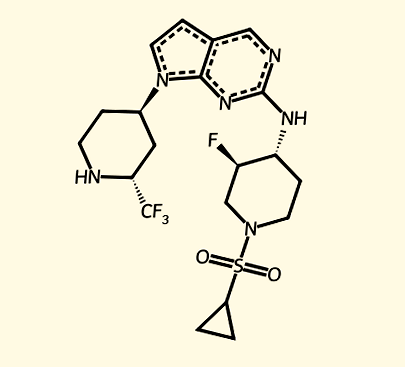 O=S(=O)(C1CC1)N1CC[C@@H](Nc2ncc3ccn([C@@H]4CCN[C@@H](C(F)(F)F)C4)c3n2)[C@H](F)C1